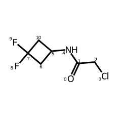 O=C(CCl)NC1CC(F)(F)C1